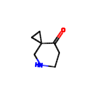 O=C1CCNCC12CC2